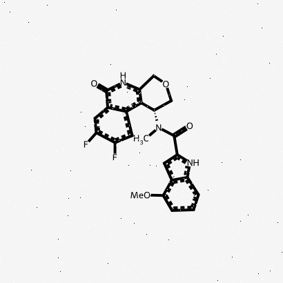 COc1cccc2[nH]c(C(=O)N(C)[C@H]3COCc4[nH]c(=O)c5cc(F)c(F)cc5c43)cc12